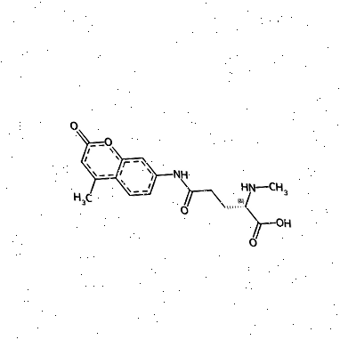 CN[C@@H](CCC(=O)Nc1ccc2c(C)cc(=O)oc2c1)C(=O)O